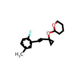 Cc1ccc(F)c(C#CC2(OC3CCCCO3)CC2)c1